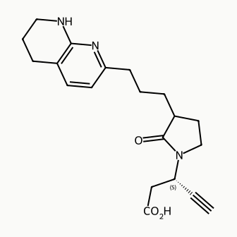 C#C[C@H](CC(=O)O)N1CCC(CCCc2ccc3c(n2)NCCC3)C1=O